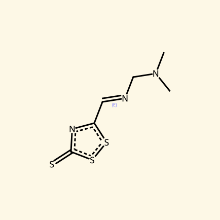 CN(C)C/N=C/c1nc(=S)ss1